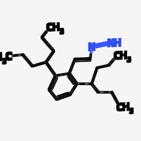 CCCC(CCC)c1cccc(C(CCC)CCC)c1C=CN=N